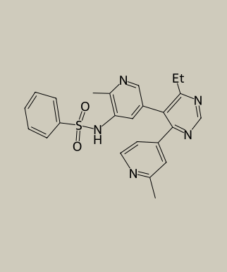 CCc1ncnc(-c2ccnc(C)c2)c1-c1cnc(C)c(NS(=O)(=O)c2ccccc2)c1